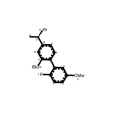 COc1ccc(F)c(-c2ccc([C@@H](C)C(C)C)cc2C(C)(C)C)c1